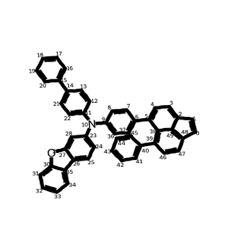 C1=Cc2ccc(-c3ccc(N(c4ccc(-c5ccccc5)cc4)c4ccc5c(c4)oc4ccccc45)cc3)c3c(-c4ccccc4)ccc1c23